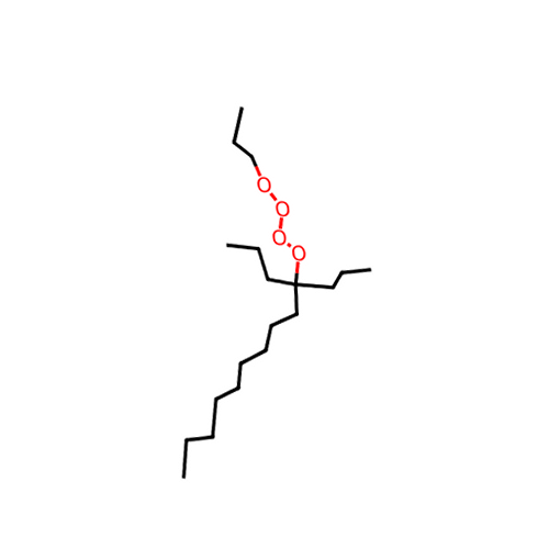 CCCCCCCCCC(CCC)(CCC)OOOOCCC